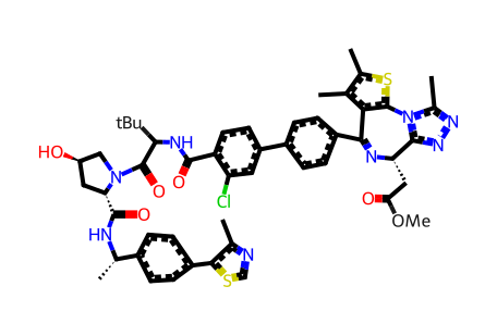 COC(=O)C[C@@H]1N=C(c2ccc(-c3ccc(C(=O)NC(C(=O)N4C[C@H](O)C[C@H]4C(=O)N[C@@H](C)c4ccc(-c5scnc5C)cc4)C(C)(C)C)c(Cl)c3)cc2)c2c(sc(C)c2C)-n2c(C)nnc21